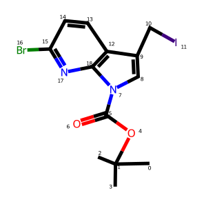 CC(C)(C)OC(=O)n1cc(CI)c2ccc(Br)nc21